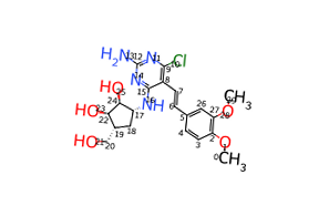 COc1ccc(/C=C/c2c(Cl)nc(N)nc2N[C@@H]2C[C@H](CO)[C@@H](O)[C@H]2O)cc1OC